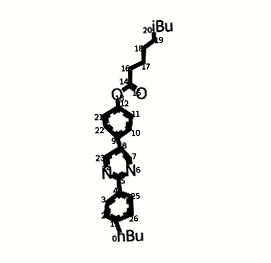 CCCCc1ccc(-c2ncc(-c3ccc(OC(=O)CCCCC(C)CC)cc3)cn2)cc1